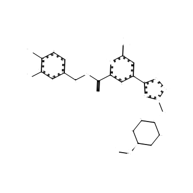 Cc1cc(-c2nnn(C[C@H]3CC[C@H](NC(=O)O)CC3)n2)cc(C(=O)NCc2ccc(F)c(C)c2)n1